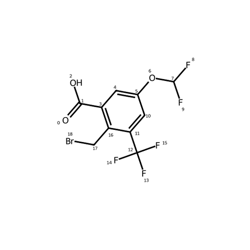 O=C(O)c1cc(OC(F)F)cc(C(F)(F)F)c1CBr